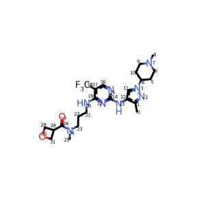 Cc1nn(C2CCN(C)CC2)cc1Nc1ncc(C(F)(F)F)c(NCCCN(C)C(=O)C2COC2)n1